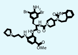 COC(=O)c1ccc(NCCCN2CCCC2)c(NC(=O)[C@@H](Cc2cc(Br)c(N)c(Br)c2)NC(=O)N2CCC(N3CCc4ccccc4NC3=O)CC2)c1